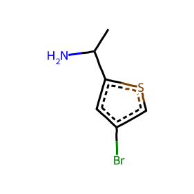 CC(N)c1cc(Br)cs1